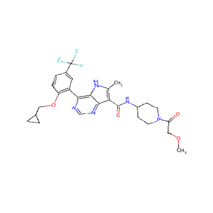 COCC(=O)N1CCC(NC(=O)c2c(C)[nH]c3c(-c4cc(C(F)(F)F)ccc4OCC4CC4)ncnc23)CC1